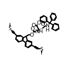 O=C(C[C@H](NC(=O)OCC1c2cc(C#CSI)ccc2-c2ccc(C#CSI)cc21)C(=O)O)NC(c1ccccc1)(c1ccccc1)c1ccccc1